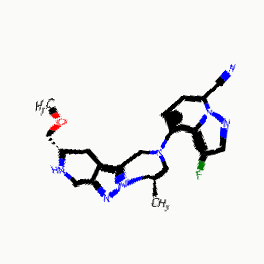 COC[C@@H]1Cc2c(nn3c2CN(c2ccc(C#N)n4ncc(F)c24)C[C@H]3C)CN1